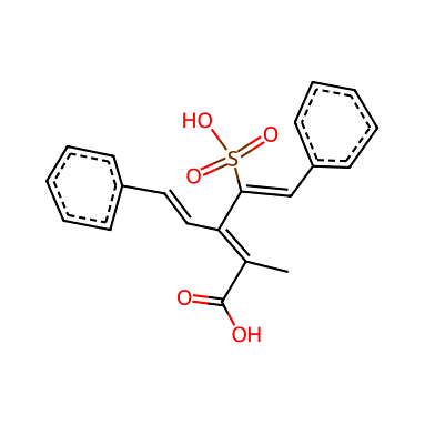 CC(C(=O)O)=C(C=Cc1ccccc1)C(=Cc1ccccc1)S(=O)(=O)O